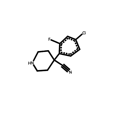 N#CC1(c2ccc(Cl)cc2F)CCNCC1